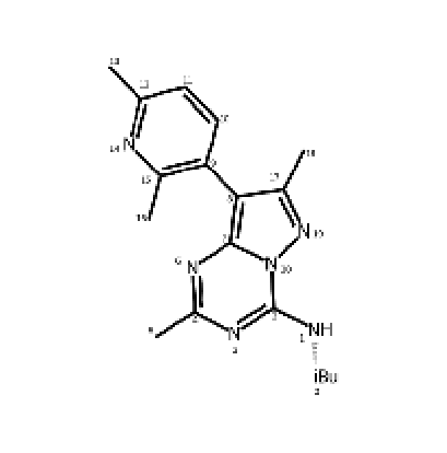 CC[C@@H](C)Nc1nc(C)nc2c(-c3ccc(C)nc3C)c(C)nn12